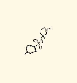 Cc1ccc(S(=O)(=O)OC[C@]2(F)CCCN(C)C2)cc1